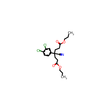 CCCOC(=O)CCC(C#N)(CCC(=O)OCCC)c1ccc(Cl)c(Cl)c1